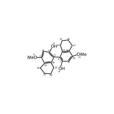 COc1cc(O)c(-c2c(O)cc(OC)c3c2CCCC3)c2c1CCCC2